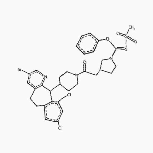 CS(=O)(=O)N=C(Oc1ccccc1)N1CCC(CC(=O)N2CCC(C3c4ncc(Br)cc4CCc4cc(Cl)cc(Cl)c43)CC2)C1